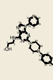 OCCNc1nc(N2CCN(c3ccc(O)cc3)CC2)nc2c1ncn2-c1cccnc1